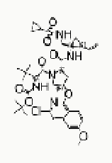 C=C[C@@H]1C[C@@]1(CNS(=O)(=O)C1CC1)NC(=O)[C@@H]1C[C@@H](Oc2nc(Cl)cc3cc(OC)ccc23)CN1C(=O)[C@@H](NC(=O)OC(C)(C)C)C(C)(C)C